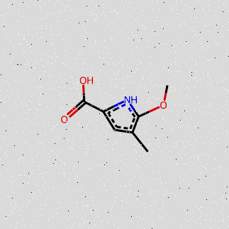 COc1[nH]c(C(=O)O)cc1C